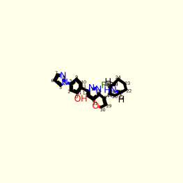 Oc1cc(-n2cccn2)ccc1-c1cc2c(nn1)C([C@H]1C[C@@H]3CCC[C@@H](N3)[C@H]1F)=CCO2